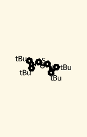 CC(C)(C)c1ccc2c(c1)c1cc(C(C)(C)C)ccc1n2-c1ccc2c(c1)Oc1cc(-n3c4ccc(C(C)(C)C)cc4c4cc(C(C)(C)C)ccc43)ccc1S2